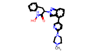 CN1CCN(c2ccc(-c3cccc4nn(C(Cc5ccccc5)C(=O)NO)cc34)cn2)CC1